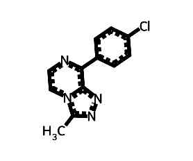 Cc1nnc2c(-c3ccc(Cl)cc3)nccn12